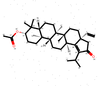 C=C[C@@]12CC[C@]3(C)[C@H](CC[C@@H]4[C@@]5(C)CC[C@H](OC(C)=O)C(C)(C)[C@@H]5CC[C@]43C)C1=C(C(C)C)C(=O)C2